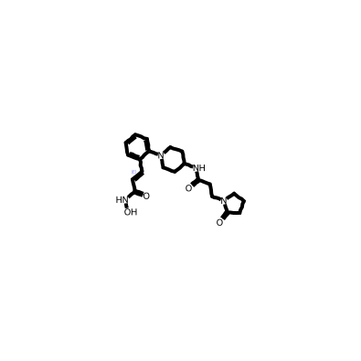 O=C(/C=C/c1ccccc1N1CCC(NC(=O)CCN2CCCC2=O)CC1)NO